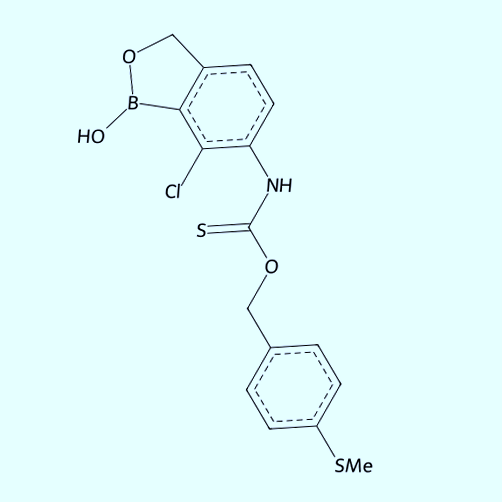 CSc1ccc(COC(=S)Nc2ccc3c(c2Cl)B(O)OC3)cc1